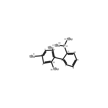 CC(C)(C)c1cc(C(C)(C)C)c(-c2ccccc2P(C(C)(C)C)C(C)(C)C)c(C(C)(C)C)c1